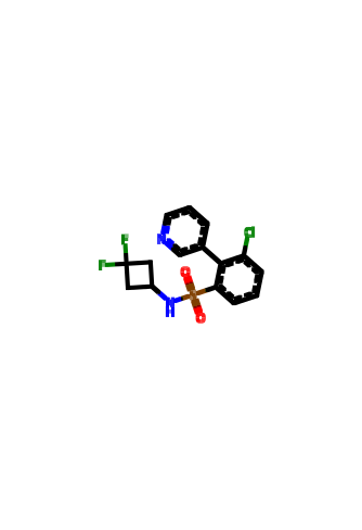 O=S(=O)(NC1CC(F)(F)C1)c1cccc(Cl)c1-c1cccnc1